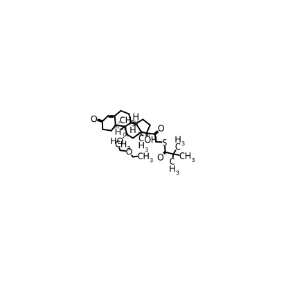 CC(C)(C)C(=O)SCC(=O)[C@@]1(O)CC[C@H]2[C@@H]3CCC4=CC(=O)CC[C@]4(C)[C@H]3[C@@H](O)C[C@@]21C.CCOCC